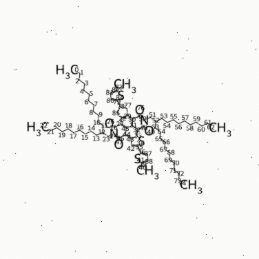 CCCCCCCCCCCCC(CCCCCCCCCC)CN1C(=O)c2c3c(c4c5c(c6sc(-c7ccc(C)s7)cc6c(c25)C1=O)C(=O)N(CC(CCCCCCCCCC)CCCCCCCCCCCC)C4=O)CC(c1ccc(C)s1)C3